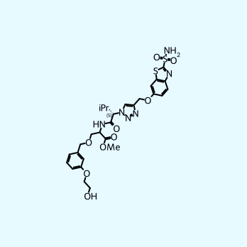 COC(=O)C(COCc1cccc(OCCO)c1)NC(=O)[C@H](C(C)C)n1cc(COc2ccc3nc(S(N)(=O)=O)sc3c2)nn1